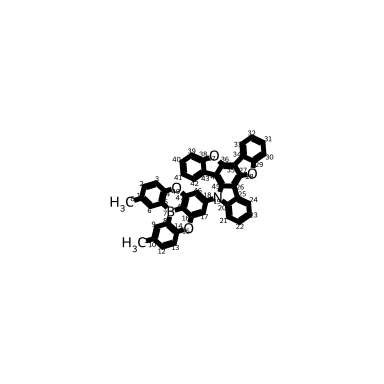 Cc1ccc2c(c1)B1c3cc(C)ccc3Oc3cc(-n4c5ccccc5c5c6oc7ccccc7c6c6oc7ccccc7c6c54)cc(c31)O2